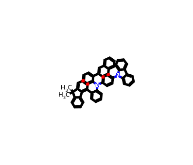 CC1(C)c2ccccc2-c2c(-c3ccccc3N(c3ccc(-n4c5ccccc5c5ccccc54)cc3)c3ccccc3-c3ccc4ccccc4c3)cccc21